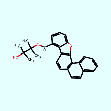 CC(C)(O)C(C)(C)OBc1cccc2oc3c(ccc4ccc5ccccc5c43)c12